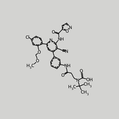 COCOc1cc(Cl)ccc1-c1cc(-c2cccc(NC(=O)CCN(C(=O)O)C(C)(C)C)c2)c(C#N)c(NC(=O)c2ccno2)n1